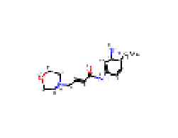 COc1ccc(NC(=O)/C=C/CN2CCOCC2)cc1N